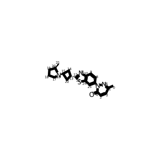 Cc1ccc(=O)n(-c2ccc3nc([C@H]4C[C@H](N5CCC[C@H]5C)C4)sc3c2)n1